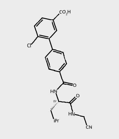 CC(C)C[C@H](NC(=O)c1ccc(-c2cc(C(=O)O)ccc2Cl)cc1)C(=O)NCC#N